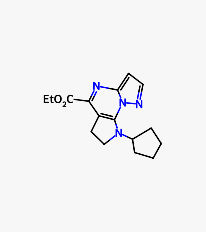 CCOC(=O)c1nc2ccnn2c2c1CCN2C1CCCC1